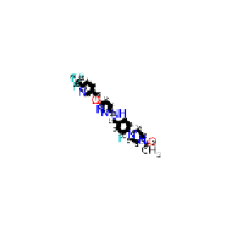 CC(=O)N1CCN(c2ccc(CNc3ccc(OCc4ccc(C(F)(F)F)nc4)nn3)cc2F)CC1